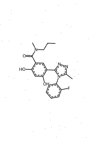 CCCN(C)C(=O)c1cc(-c2nnc(C)n2-c2ccccc2F)c(O)cc1O